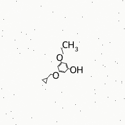 CCCOc1cc(O)cc(OCC2CC2)c1